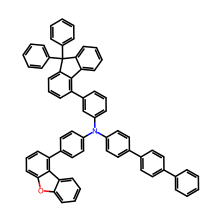 c1ccc(-c2ccc(-c3ccc(N(c4ccc(-c5cccc6oc7ccccc7c56)cc4)c4cccc(-c5cccc6c5-c5ccccc5C6(c5ccccc5)c5ccccc5)c4)cc3)cc2)cc1